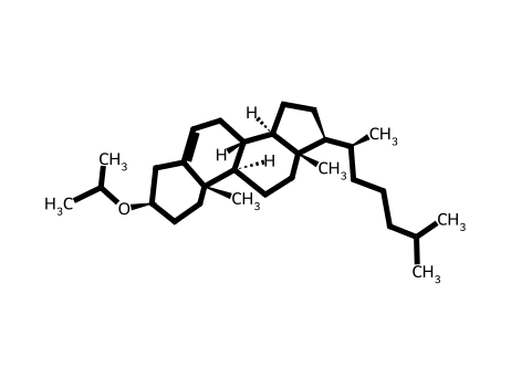 CC(C)CCC[C@H](C)[C@@H]1CC[C@@H]2[C@H]3CC=C4C[C@H](OC(C)C)CC[C@@]4(C)[C@@H]3CC[C@]21C